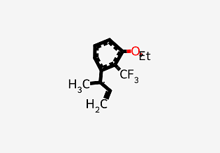 C=C[C](C)c1cccc(OCC)c1C(F)(F)F